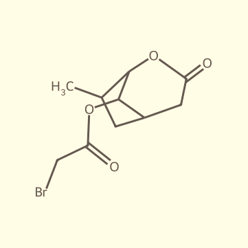 CC1CC2CC(=O)OC1C2OC(=O)CBr